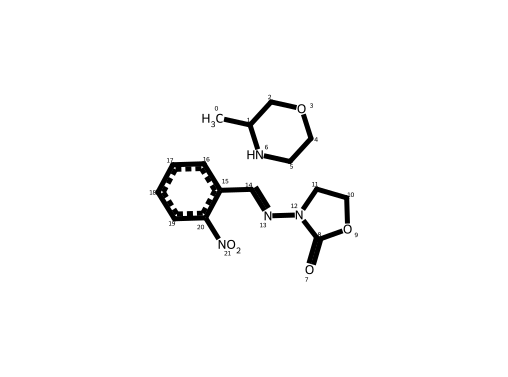 CC1COCCN1.O=C1OCCN1N=Cc1ccccc1[N+](=O)[O-]